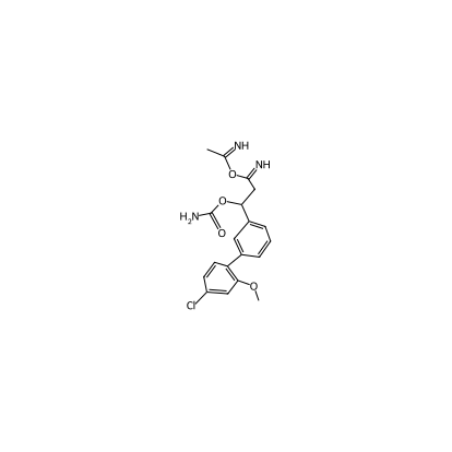 COc1cc(Cl)ccc1-c1cccc(C(CC(=N)OC(C)=N)OC(N)=O)c1